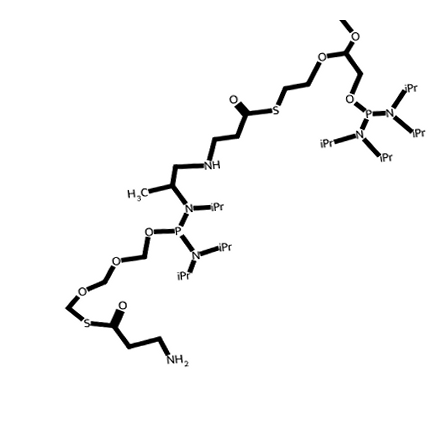 CCOC(COP(N(C(C)C)C(C)C)N(C(C)C)C(C)C)OCCSC(=O)CCNCC(C)N(C(C)C)P(OCOCOCSC(=O)CCN)N(C(C)C)C(C)C